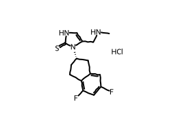 CNCc1c[nH]c(=S)n1[C@H]1CCc2c(F)cc(F)cc2C1.Cl